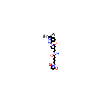 CC(C)c1[nH]c2c(CN3CCC(CCNC(=O)CCCCCN4C(=O)C=CC4=O)CC3)c(O)ccc2c1C(C)C